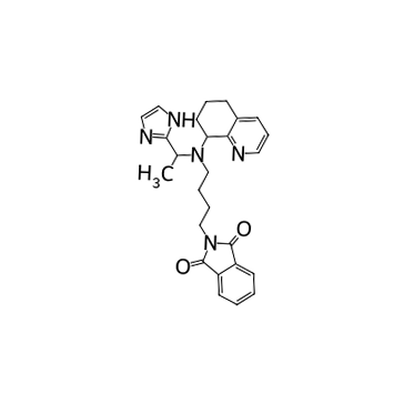 CC(c1ncc[nH]1)N(CCCCN1C(=O)c2ccccc2C1=O)C1CCCc2cccnc21